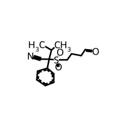 CC(C)C(C#N)(c1ccccc1)S(=O)(=O)CCCC=O